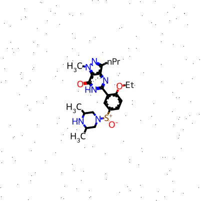 CCCc1nn(C)c2c(=O)[nH]c(-c3cc([S+]([O-])N4CC(C)NC(C)C4)ccc3OCC)nc12